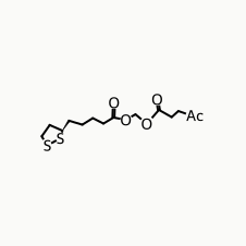 CC(=O)CCC(=O)OCOC(=O)CCCC[C@@H]1CCSS1